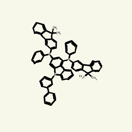 CC1(C)c2ccccc2-c2cc(N(c3ccccc3)c3cc(N(c4ccccc4)c4ccc5c(c4)-c4ccccc4C5(C)C)c4c5ccccc5n(-c5cccc(-c6ccccc6)c5)c4c3)ccc21